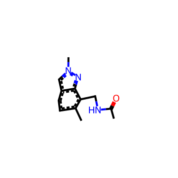 CC(=O)NCc1c(C)ccc2cn(C)nc12